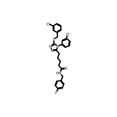 O=C(CCCCc1nnc(SCc2cccc(Cl)c2)n1-c1cccc(Cl)c1)NCc1ccc(F)cc1